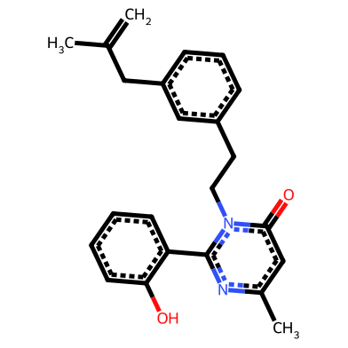 C=C(C)Cc1cccc(CCn2c(-c3ccccc3O)nc(C)cc2=O)c1